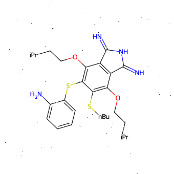 CCCCSc1c(OCCC(C)C)c2c(c(OCCC(C)C)c1Sc1ccccc1N)C(=N)NC2=N